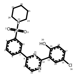 O=S(=O)(c1cccc(-c2ccnc(-c3cc(Cl)ccc3O)n2)c1)N1CCCCC1